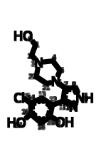 OCCN1CCN(c2c[nH]nc2-c2cc(Cl)c(O)cc2O)CC1